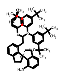 CC(C)(C)c1cc(P(c2cc(C(C)(C)C)cc(C(C)(C)C)c2)C(Cc2cccc3c2[C@]2(CCc4cccc(N)c42)CC3)Sc2ccc(Cl)cc2)cc(C(C)(C)C)c1